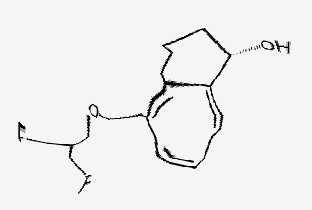 O[C@H]1CCc2c(OC(F)F)cccc21